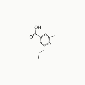 CCCc1cc(C(=O)O)cc(C)n1